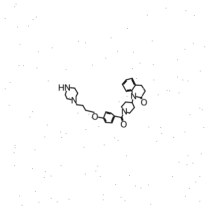 O=C(c1ccc(OCCCCN2CCNCC2)cc1)N1CCC(N2C(=O)CCc3ccccc32)CC1